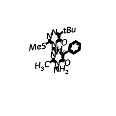 CSc1nnc(C(C)(C)C)c(=O)n1N.Cc1nnc(-c2ccccc2)c(=O)n1N